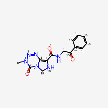 CN1N=NC2=C(C(=O)NCC(=O)c3ccccc3)NCN2C1=O